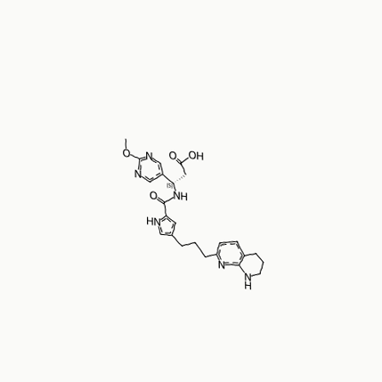 COc1ncc([C@H](CC(=O)O)NC(=O)c2cc(CCCc3ccc4c(n3)NCCC4)c[nH]2)cn1